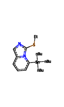 CCC[CH2][Sn]([CH2]CCC)([CH2]CCC)[c]1cccc2cnc(SCC)n12